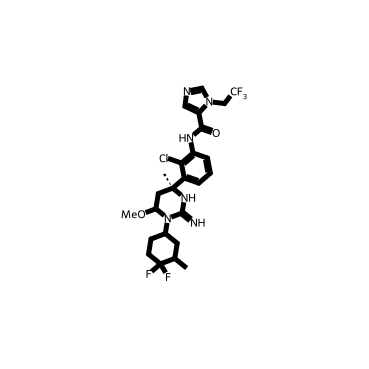 COC1C[C@@](C)(c2cccc(NC(=O)c3cncn3CC(F)(F)F)c2Cl)NC(=N)N1C1CCC(F)(F)C(C)C1